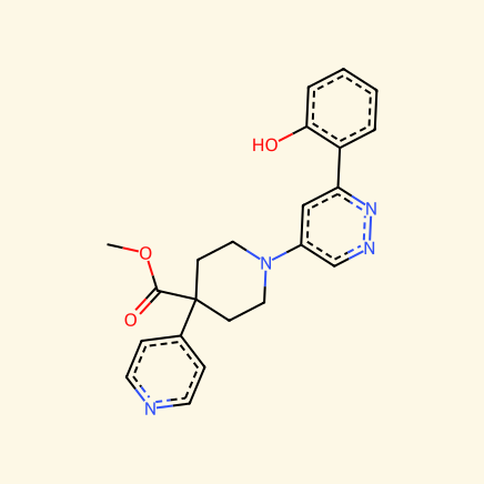 COC(=O)C1(c2ccncc2)CCN(c2cnnc(-c3ccccc3O)c2)CC1